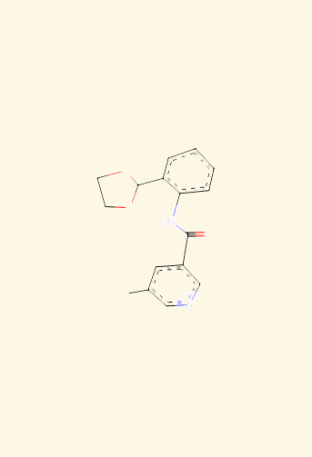 Cc1cncc(C(=O)Nc2ccccc2C2OCCO2)c1